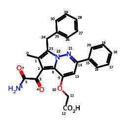 Cc1c(C(=O)C(N)=O)c2c(OCC(=O)O)cc(-c3ccccc3)nn2c1Cc1ccccc1